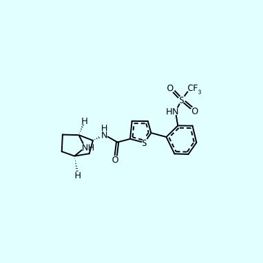 O=C(N[C@@H]1C[C@H]2CC[C@@H]1N2)c1ccc(-c2ccccc2NS(=O)(=O)C(F)(F)F)s1